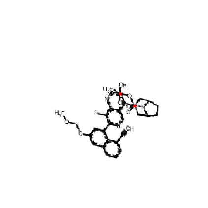 C#Cc1cccc2cc(OCOC)cc(-c3ncc4c(N5CC6CCC(C5)N6C(=O)OC(C)(C)C)ncnc4c3F)c12